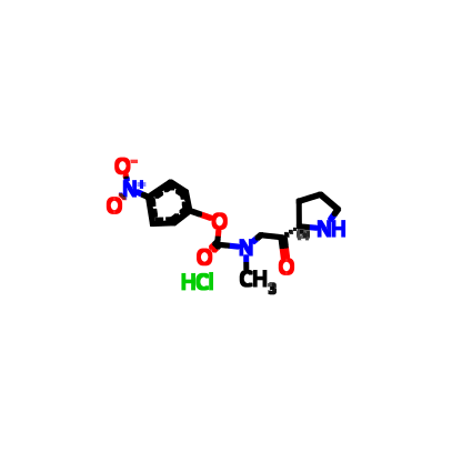 CN(CC(=O)[C@@H]1CCCN1)C(=O)Oc1ccc([N+](=O)[O-])cc1.Cl